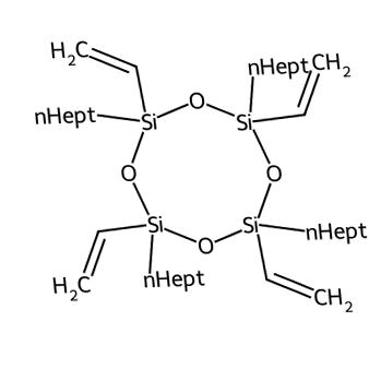 C=C[Si]1(CCCCCCC)O[Si](C=C)(CCCCCCC)O[Si](C=C)(CCCCCCC)O[Si](C=C)(CCCCCCC)O1